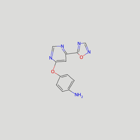 Nc1ccc(Oc2cc(-c3ncno3)ncn2)cc1